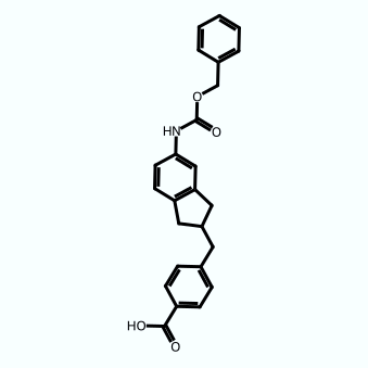 O=C(Nc1ccc2c(c1)CC(Cc1ccc(C(=O)O)cc1)C2)OCc1ccccc1